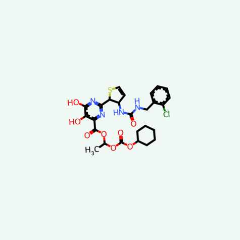 CC(OC(=O)OC1CCCCC1)OC(=O)c1nc(C2SC=CC2NC(=O)NCc2ccccc2Cl)nc(O)c1O